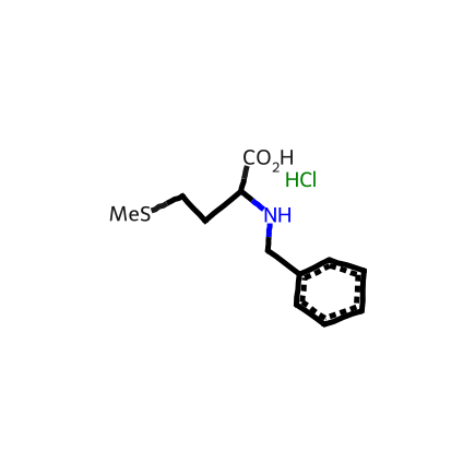 CSCCC(NCc1ccccc1)C(=O)O.Cl